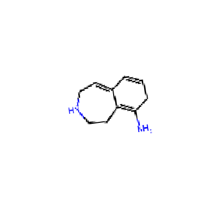 NC1=C2CCNCC=C2C=CC1